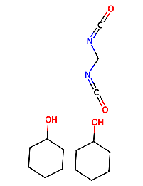 O=C=NCN=C=O.OC1CCCCC1.OC1CCCCC1